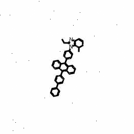 CCc1nc2c(n1-c1ccc(-c3c4ccccc4c(-c4ccc(-c5ccccc5)cc4)c4ccccc34)cc1)C(C)CC=C2